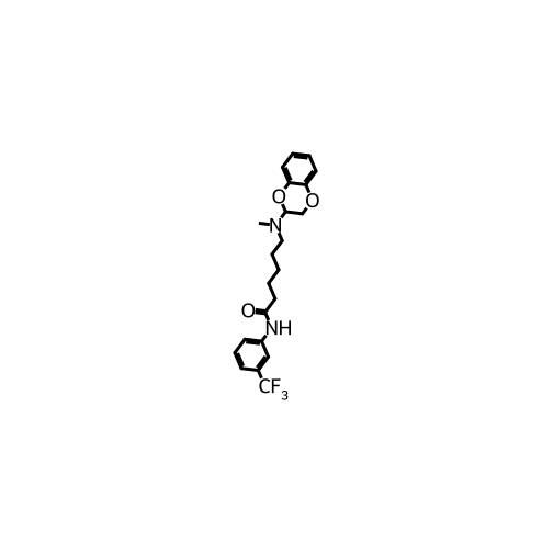 CN(CCCCCC(=O)Nc1cccc(C(F)(F)F)c1)C1COc2ccccc2O1